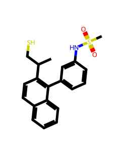 CC(CS)c1ccc2ccccc2c1-c1cccc(NS(C)(=O)=O)c1